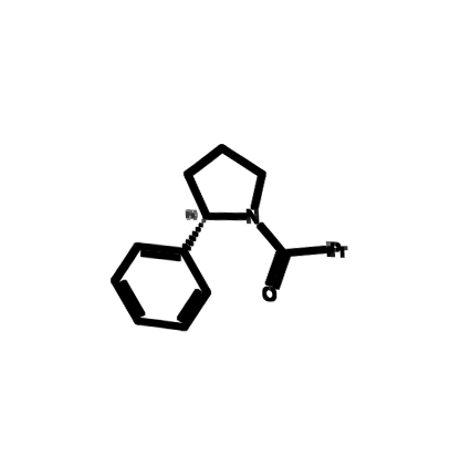 CC(C)C(=O)N1CCC[C@H]1c1ccccc1